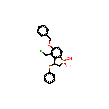 OS1(O)CC(Sc2ccccc2)c2c1ccc(OCc1ccccc1)c2CBr